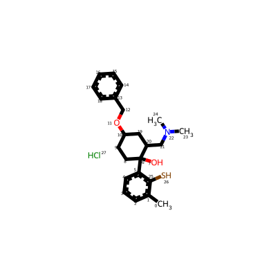 Cc1cccc(C2(O)CCC(OCc3ccccc3)CC2CN(C)C)c1S.Cl